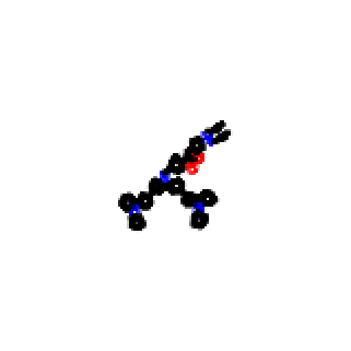 CC#CCN(CC#CC)c1ccc2cc(-c3ccc(Cn4c5ccc(-c6ccc7c(c6)c6ccccc6n7-c6ccccc6)cc5c5cc(-c6ccc7c(c6)c6ccccc6n7-c6ccccc6)ccc54)cc3)c(=O)oc2c1